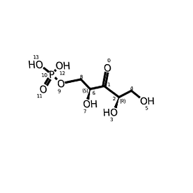 O=C([C@H](O)CO)[C@@H](O)COP(=O)(O)O